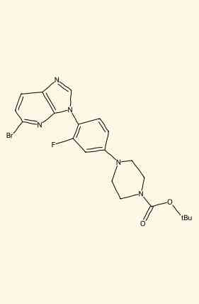 CC(C)(C)OC(=O)N1CCN(c2ccc(-n3cnc4ccc(Br)nc43)c(F)c2)CC1